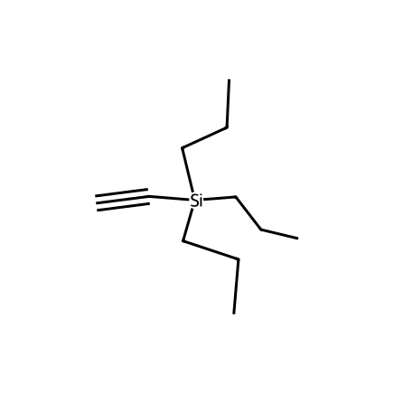 C#C[Si](CCC)(CCC)CCC